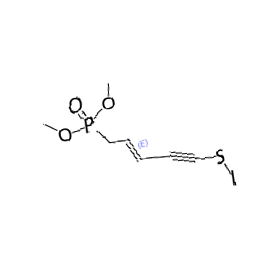 COP(=O)(C/C=C/C#CSI)OC